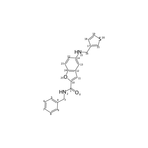 O=C(NCc1ccccc1)c1cc2cc(NCc3ccsc3)ccc2o1